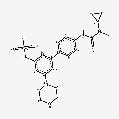 CN(C(=O)Nc1ccc(-c2nc(CS(C)(=O)=O)cc(N3CCOCC3)n2)cc1)C1CC1